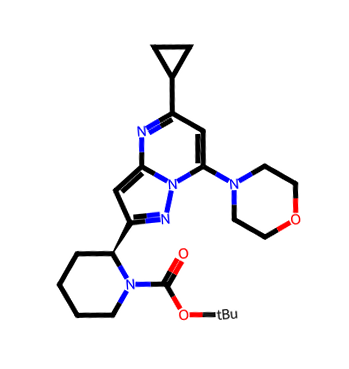 CC(C)(C)OC(=O)N1CCCC[C@H]1c1cc2nc(C3CC3)cc(N3CCOCC3)n2n1